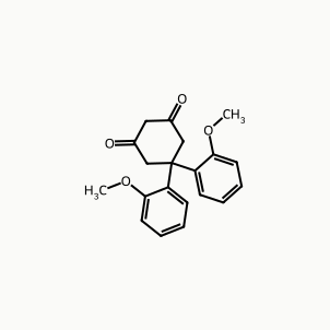 COc1ccccc1C1(c2ccccc2OC)CC(=O)CC(=O)C1